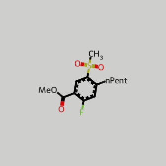 CCCCCc1cc(F)c(C(=O)OC)cc1S(C)(=O)=O